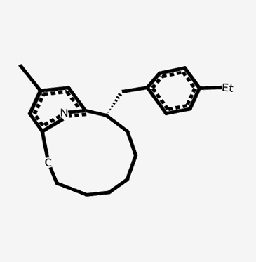 CCc1ccc(C[C@@H]2CCCCCCCc3cc(C)cc2n3)cc1